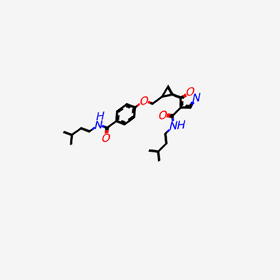 CC(C)CCNC(=O)c1ccc(OCC2CC2c2oncc2C(=O)NCCC(C)C)cc1